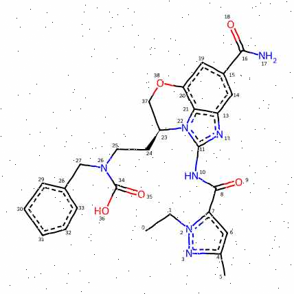 CCn1nc(C)cc1C(=O)Nc1nc2cc(C(N)=O)cc3c2n1[C@@H](CCN(Cc1ccccc1)C(=O)O)CO3